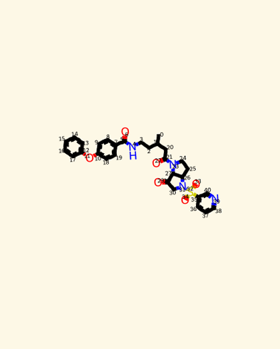 CC(CCNC(=O)c1ccc(Oc2ccccc2)cc1)CC(=O)N1CCC2C1C(=O)CN2S(=O)(=O)c1cccnc1